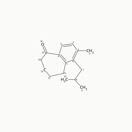 Cc1ccc2c(c1CC(C)C)CCCCC2=O